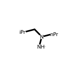 CCCN([NH])CC(C)C